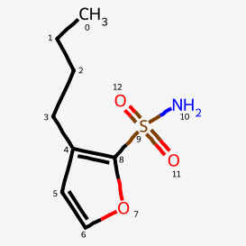 CCCCc1ccoc1S(N)(=O)=O